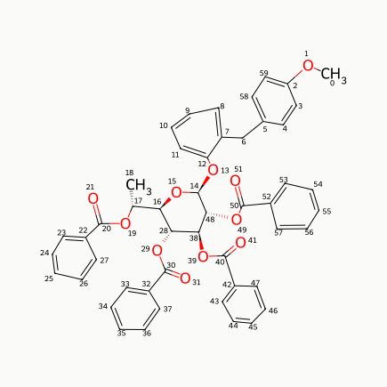 COc1ccc(Cc2ccccc2O[C@@H]2O[C@H]([C@@H](C)OC(=O)c3ccccc3)[C@@H](OC(=O)c3ccccc3)[C@H](OC(=O)c3ccccc3)[C@H]2OC(=O)c2ccccc2)cc1